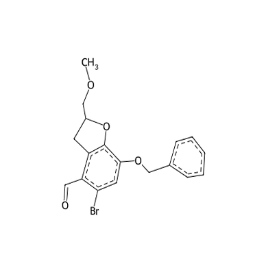 COCC1Cc2c(C=O)c(Br)cc(OCc3ccccc3)c2O1